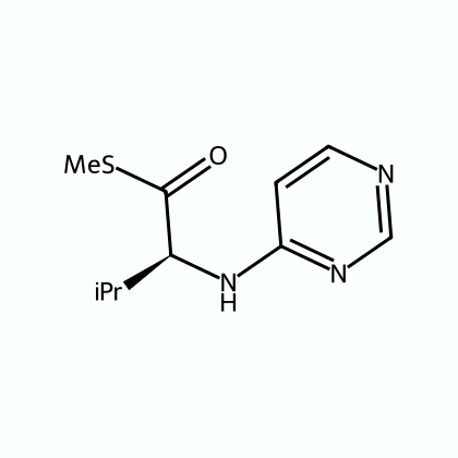 CSC(=O)[C@@H](Nc1ccncn1)C(C)C